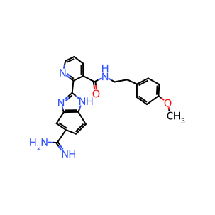 COc1ccc(CCNC(=O)c2cccnc2-c2nc3cc(C(=N)N)ccc3[nH]2)cc1